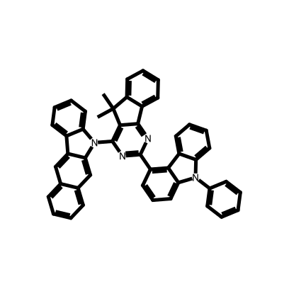 CC1(C)c2ccccc2-c2nc(-c3cccc4c3c3ccccc3n4-c3ccccc3)nc(-n3c4ccccc4c4cc5ccccc5cc43)c21